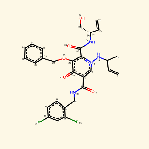 C=CC(C)Nn1cc(C(=O)NCc2ccc(F)cc2F)c(=O)c(OCc2ccccc2)c1C(=O)N[C@@H](C=C)CO